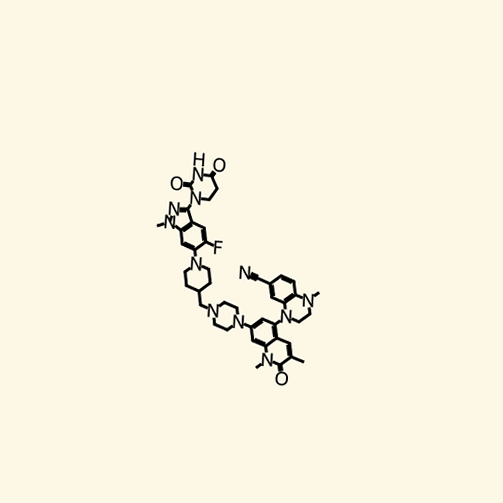 Cc1cc2c(N3CCN(C)c4ccc(C#N)cc43)cc(N3CCN(CC4CCN(c5cc6c(cc5F)c(N5CCC(=O)NC5=O)nn6C)CC4)CC3)cc2n(C)c1=O